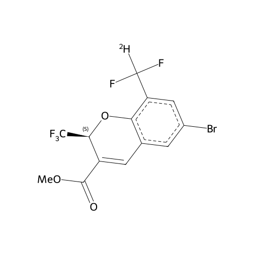 [2H]C(F)(F)c1cc(Br)cc2c1O[C@H](C(F)(F)F)C(C(=O)OC)=C2